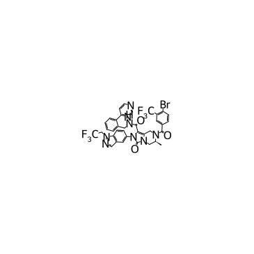 C[C@H]1Cn2c(c(C(=O)NCc3ccccc3-c3ccncn3)n(-c3ccc4c(cnn4CC(F)(F)F)c3)c2=O)CN1C(=O)c1ccc(Br)c(C(F)(F)F)c1